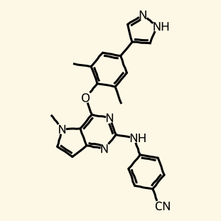 Cc1cc(-c2cn[nH]c2)cc(C)c1Oc1nc(Nc2ccc(C#N)cc2)nc2ccn(C)c12